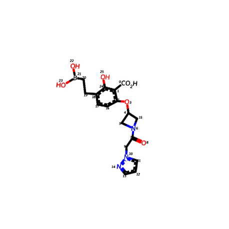 O=C(O)c1c(OC2CN(C(=O)Cn3cccn3)C2)ccc(CCB(O)O)c1O